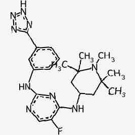 CN1C(C)(C)CC(Nc2nc(Nc3cccc(-c4nn[nH]n4)c3)ncc2F)CC1(C)C